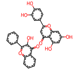 O=c1c(O)c(-c2ccccc2)oc2ccccc12.O=c1cc(-c2ccc(O)c(O)c2)oc2cc(O)cc(O)c12